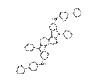 c1ccc(-c2ccc(Nc3ccc4c5c6ccc7c(c6ccc5n(-c5ccccc5)c4c3)c3ccc(Nc4ccc(-c5ccccc5)cc4)cc3n7-c3ccccc3)cc2)cc1